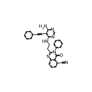 N#Cc1cccc2nc(CCNc3ncnc(N)c3C#Cc3ccccc3)n(-c3ccccc3)c(=O)c12